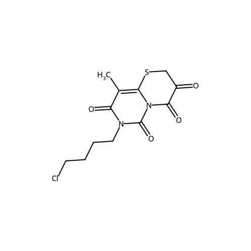 Cc1c2n(c(=O)n(CCCCCl)c1=O)C(=O)C(=O)CS2